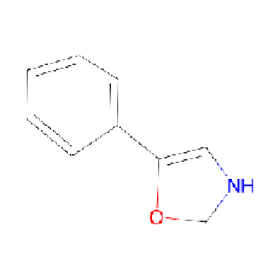 C1=C(c2ccccc2)OCN1